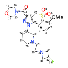 COc1cccc2c1S(=O)(=O)Cc1c(C(=O)N3CCOCC3)nn(C3CCCN(CCN4CC(F)C4)C3)c1-2